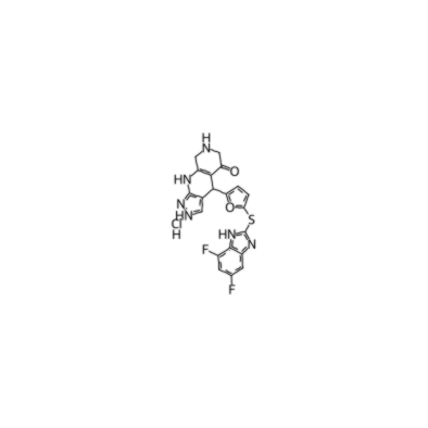 Cl.O=C1CNCC2=C1C(c1ccc(Sc3nc4cc(F)cc(F)c4[nH]3)o1)c1c[nH]nc1N2